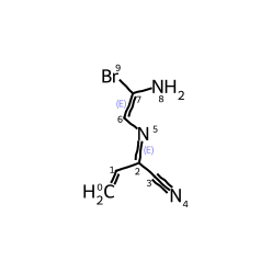 C=C/C(C#N)=N\C=C(/N)Br